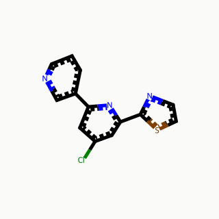 Clc1cc(-c2cccnc2)nc(-c2nccs2)c1